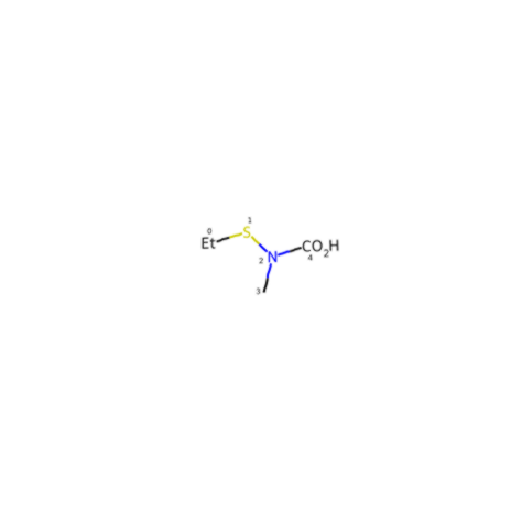 CCSN(C)C(=O)O